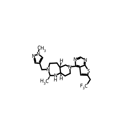 C[C@@H]1N[C@H]2CCN(c3ncnc4sc(CC(F)(F)F)cc34)C[C@H]2CCN1Cc1cnn(C)c1